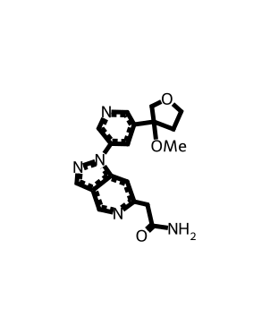 COC1(c2cncc(-n3ncc4cnc(CC(N)=O)cc43)c2)CCOC1